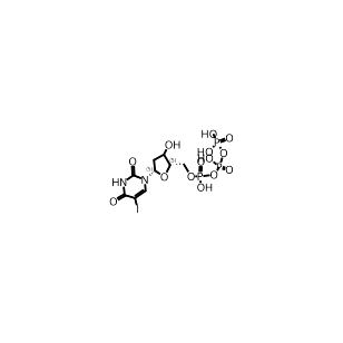 O=c1[nH]c(=O)n([C@@H]2CC(O)[C@H](COP(=O)(O)OP(=O)(O)OP(=O)(O)O)O2)cc1I